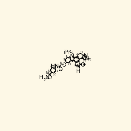 CC(C)Cn1c2ccc(OCC(=O)Nc3ccc(C(C)(C)N)cc3)cc2c2c3c(c4c(c21)CCc1nn(C)cc1-4)C(=O)NC3